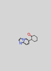 O=C1CCCCC1c1ccc2nccn2c1